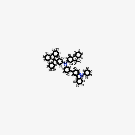 CC1(C)c2ccccc2-c2ccc(N(c3ccc(C(c4ccccc4)(c4ccccc4)c4ccccc4)cc3)c3cccc(-c4ccc5c(c4)c4ccccc4n5-c4ccccc4)c3)cc21